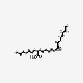 CCCCCCCCC(CCCCCCC1OC1CCCCCCCC)C(=O)O